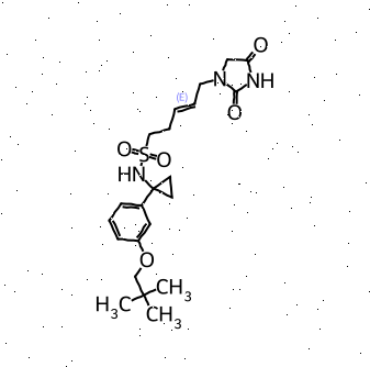 CC(C)(C)COc1cccc(C2(NS(=O)(=O)CC/C=C/CN3CC(=O)NC3=O)CC2)c1